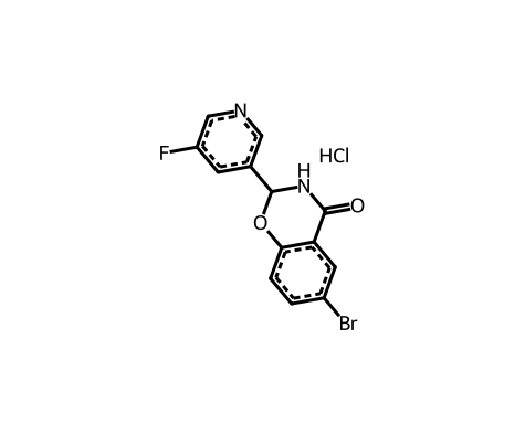 Cl.O=C1NC(c2cncc(F)c2)Oc2ccc(Br)cc21